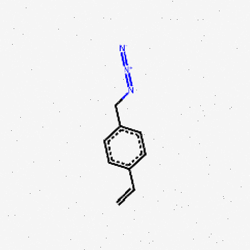 C=Cc1ccc(CN=[N+]=[N-])cc1